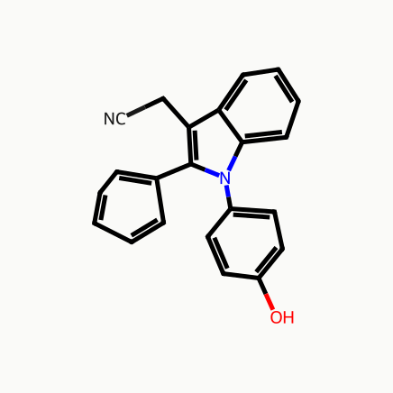 N#CCc1c(-c2ccccc2)n(-c2ccc(O)cc2)c2ccccc12